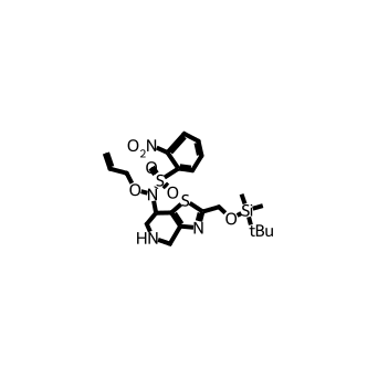 C=CCON(C1CNCc2nc(CO[Si](C)(C)C(C)(C)C)sc21)S(=O)(=O)c1ccccc1[N+](=O)[O-]